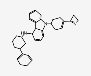 C1=CC(NC2CCCC(C3=CCCC=C3)C2)C2C(=C1)N(C1CC=C(C3=NCC3)CC1)c1ccccc12